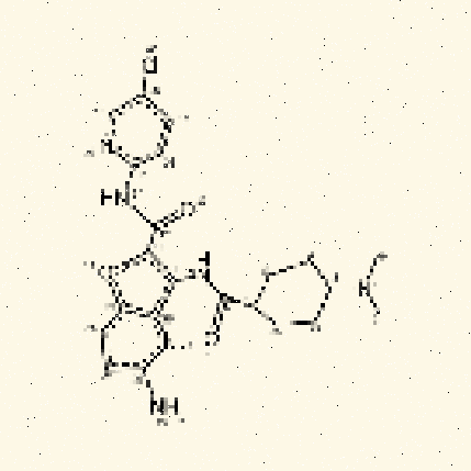 CN(C)[C@H]1CC[C@H](C(=O)Nc2c(C(=O)Nc3ccc(Cl)cn3)oc3ccc(N)nc23)CC1